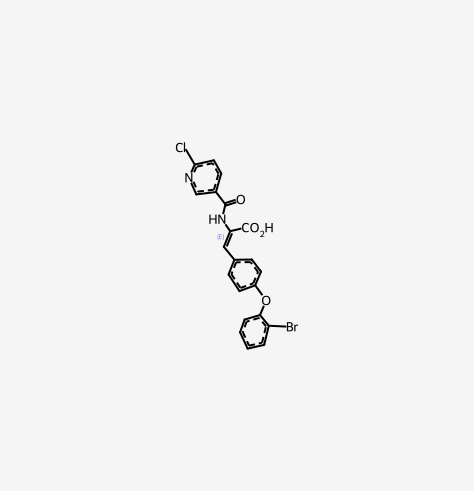 O=C(O)/C(=C\c1ccc(Oc2ccccc2Br)cc1)NC(=O)c1ccc(Cl)nc1